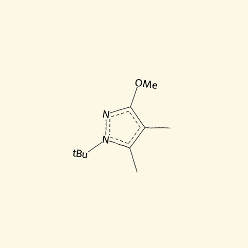 COc1nn(C(C)(C)C)c(C)c1C